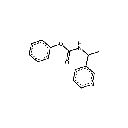 CC(NC(=O)Oc1ccccc1)c1cccnc1